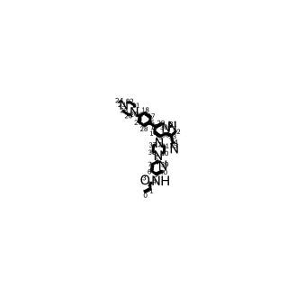 C=CC(=O)Nc1ccc(N2CCN(c3cc(-c4ccc(N5CCN(C)CC5)cc4)cn4ncc(C#N)c34)CC2)nc1